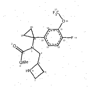 COC(=O)N(CC1CCN1)C1(c2ccc(F)c(OC(F)(F)F)c2)CC1